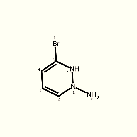 NN1C=CC=C(Br)N1